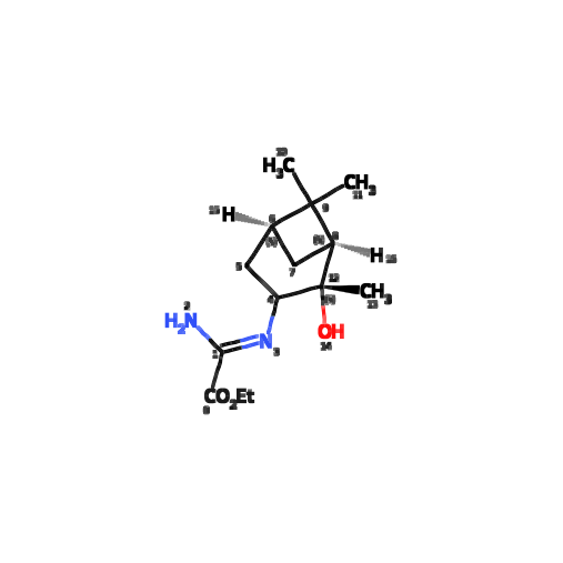 CCOC(=O)C(N)=NC1C[C@@H]2C[C@@H](C2(C)C)[C@]1(C)O